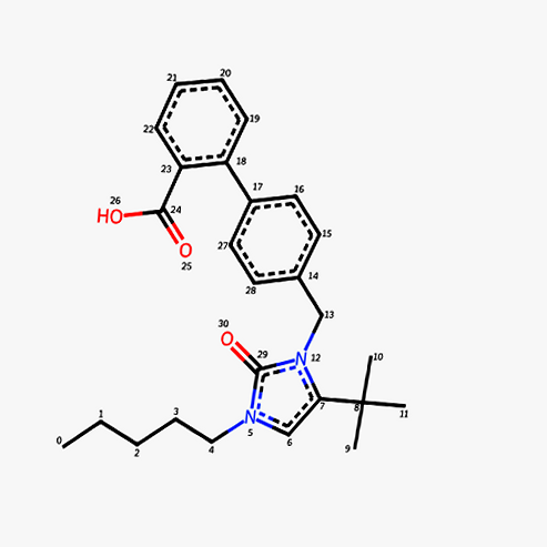 CCCCCn1cc(C(C)(C)C)n(Cc2ccc(-c3ccccc3C(=O)O)cc2)c1=O